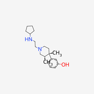 C[C@H]1CN(CCNC2CCCC2)CC[C@]1(C)c1cccc(O)c1